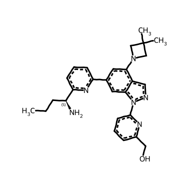 CCC[C@H](N)c1cccc(-c2cc(N3CC(C)(C)C3)c3cnn(-c4cccc(CO)n4)c3c2)n1